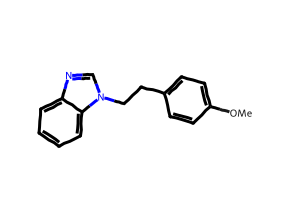 COc1ccc(CCn2cnc3ccccc32)cc1